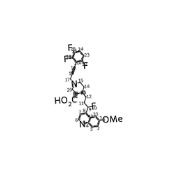 COc1ccc2nccc(C(F)CC[C@@H]3CCN(CC#Cc4c(F)ccc(F)c4F)C[C@@H]3C(=O)O)c2c1